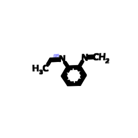 C=Nc1ccccc1/N=C\C